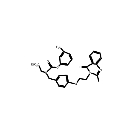 CCOC(=O)CN(Cc1ccc(OCCn2c(C)nc3ccccc3c2=O)cc1)C(=O)Oc1cccc(C(F)(F)F)c1